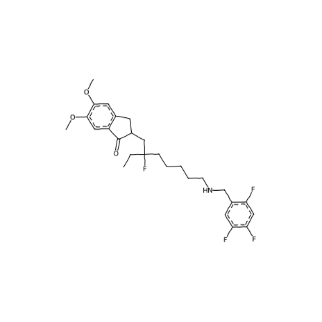 CCC(F)(CCCCCNCc1cc(F)c(F)cc1F)CC1Cc2cc(OC)c(OC)cc2C1=O